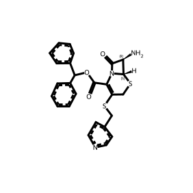 N[C@@H]1C(=O)N2C(C(=O)OC(c3ccccc3)c3ccccc3)=C(SCc3ccncc3)CS[C@@H]12